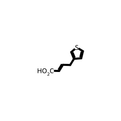 O=C(O)/C=C/Cc1ccsc1